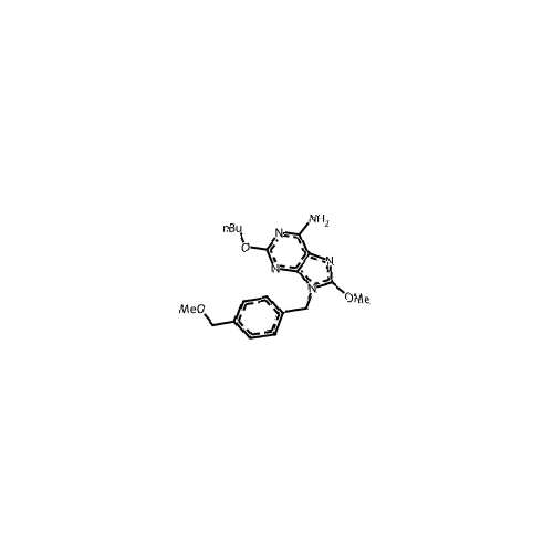 CCCCOc1nc(N)c2nc(OC)n(Cc3ccc(COC)cc3)c2n1